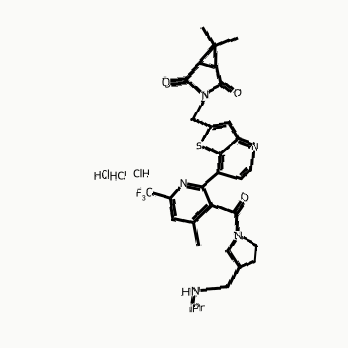 Cc1cc(C(F)(F)F)nc(-c2ccnc3cc(CN4C(=O)C5C(C4=O)C5(C)C)sc23)c1C(=O)N1CCC(CNC(C)C)C1.Cl.Cl.Cl